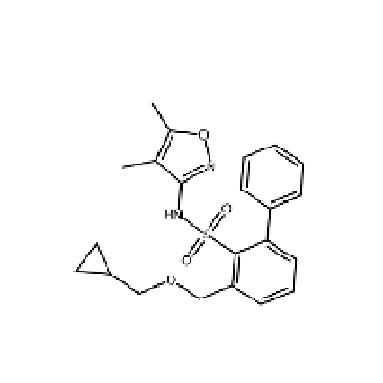 Cc1onc(NS(=O)(=O)c2c(COCC3CC3)cccc2-c2ccccc2)c1C